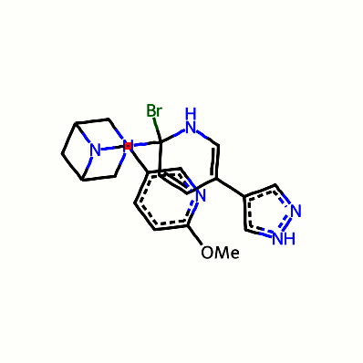 COc1ccc(CN2C3CC2CN(C2(Br)C=CC(c4cn[nH]c4)=CN2)C3)cn1